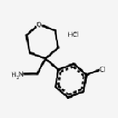 Cl.NCC1(c2cccc(Cl)c2)CCOCC1